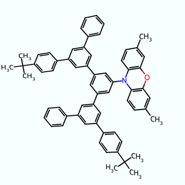 Cc1ccc2c(c1)Oc1cc(C)ccc1N2c1cc(-c2cc(-c3ccccc3)cc(-c3ccc(C(C)(C)C)cc3)c2)cc(-c2cc(-c3ccccc3)cc(-c3ccc(C(C)(C)C)cc3)c2)c1